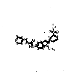 Cn1c(-c2cccc(S(C)(=O)=O)c2)cc2cc(NC(=O)NCc3ccncc3)ccc21